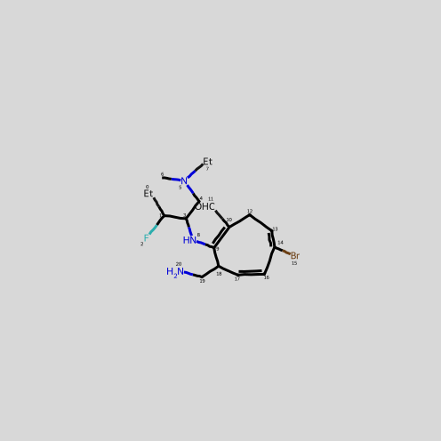 CCC(F)C(CN(C)CC)N/C1=C(\C=O)C/C=C(/Br)C=CC1CN